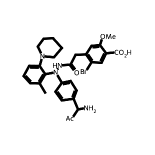 COc1cc(CC(=O)NN(c2ccc(C(N)C(C)=O)cc2)c2c(C)cccc2N2CCCCC2)c(Br)cc1C(=O)O